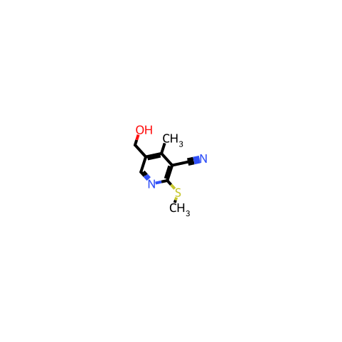 CSc1ncc(CO)c(C)c1C#N